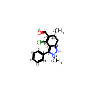 C[C@@H]1Cc2nn(C)c(-c3ccccc3)c2C(Cl)=C1C=O